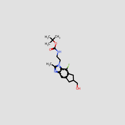 Cc1nc2cc3c(c(F)c2n1CCNC(=O)OC(C)(C)C)CC(CO)C3